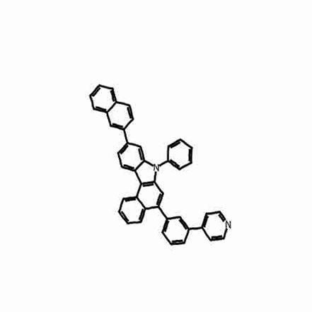 c1ccc(-n2c3cc(-c4ccc5ccccc5c4)ccc3c3c4ccccc4c(-c4cccc(-c5ccncc5)c4)cc32)cc1